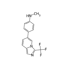 CNc1ccc(-c2ccc3cnc(C(F)(F)F)n3c2)cc1